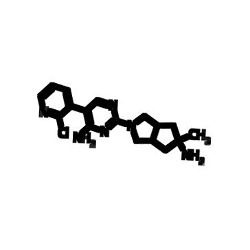 CC1(N)CC2CN(c3ncc(-c4cccnc4Cl)c(N)n3)CC2C1